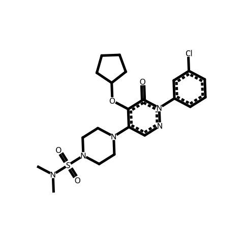 CN(C)S(=O)(=O)N1CCN(c2cnn(-c3cccc(Cl)c3)c(=O)c2OC2CCCC2)CC1